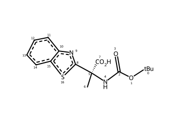 CC(C)(C)OC(=O)N[C@](C)(C(=O)O)c1nc2ccccc2s1